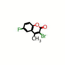 Cc1c(Br)c(=O)oc2ccc(F)cc12